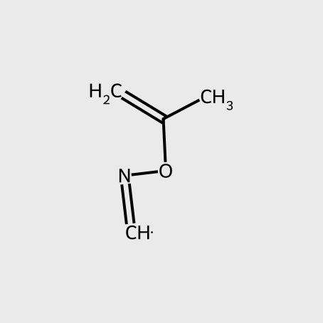 [CH]=NOC(=C)C